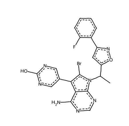 CC(c1cc(-c2ccccc2F)no1)n1c(Br)c(-c2cnc(O)nc2)c2c(N)ncnc21